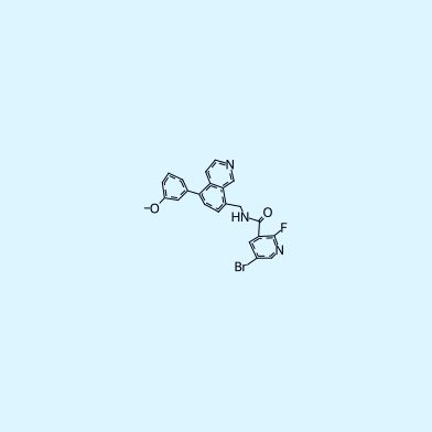 COc1cccc(-c2ccc(CNC(=O)c3cc(Br)cnc3F)c3cnccc23)c1